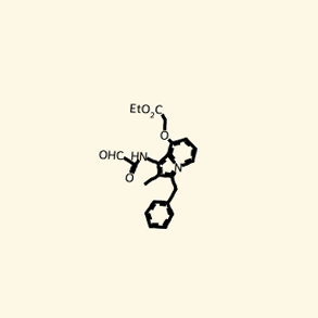 CCOC(=O)COc1cccn2c(Cc3ccccc3)c(C)c(NC(=O)C=O)c12